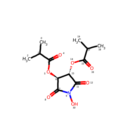 CC(C)C(=O)O[C@@H]1C(=O)N(O)C(=O)[C@H]1OC(=O)C(C)C